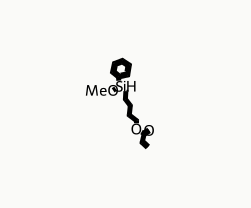 C=CC(=O)OCCCCC[SiH](OC)c1ccccc1